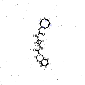 O=C(CC1=C/C=C\C=C/C=C\1)NC12CC(NC(=O)N3CCc4ccccc4C3)(C1)C2